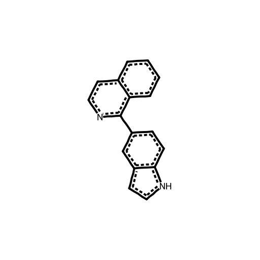 c1ccc2c(-c3ccc4[nH]ccc4c3)nccc2c1